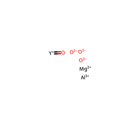 [Al+3].[Mg+2].[O-2].[O-2].[O-2].[O]=[Y+]